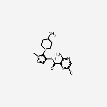 Cn1ncc(NC(=O)c2nc(Cl)cnc2N)c1N1CCC(N)CC1